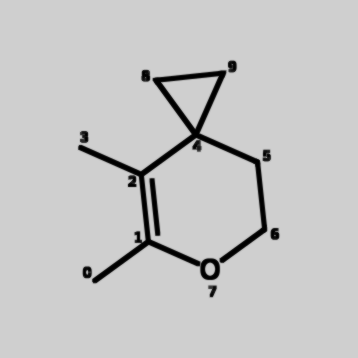 CC1=C(C)C2(CCO1)CC2